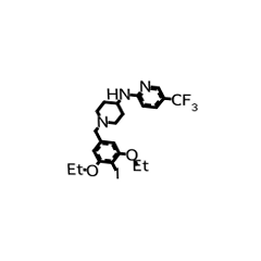 CCOc1cc(CN2CCC(Nc3ccc(C(F)(F)F)cn3)CC2)cc(OCC)c1I